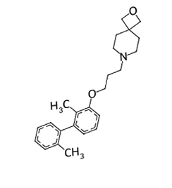 Cc1ccccc1-c1cccc(OCCCN2CCC3(CC2)COC3)c1C